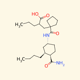 CCCC[C@H]1C[C@H](NC(=O)C2(CC(CCC)C(=O)O)CCCC2)CC[C@H]1C(N)=O